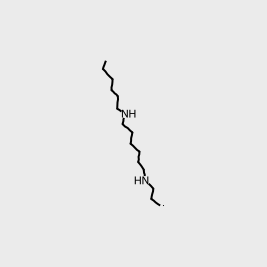 [CH2]CCNCCCCCCNCCCCCC